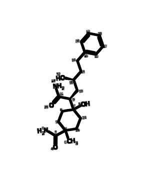 CC1(C(N)=O)CCC(O)([C@H](C[C@@H](O)[CH]Cc2ccccc2)C(N)=O)CC1